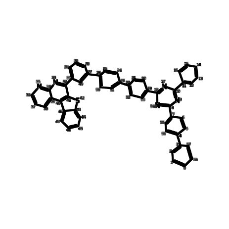 c1ccc(-c2ccc(-c3nc(-c4ccccc4)nc(-c4ccc(-c5ccc(-c6cccc(-c7nc8ncccc8c8c7sc7ccccc78)c6)cc5)cc4)n3)cc2)cc1